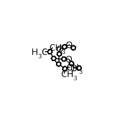 Cc1cc(C)cc(-c2ccc3c(c2)C(c2ccc(Oc4ccc(Oc5ccccc5)cc4)cc2)(c2ccc(Oc4ccc(Oc5ccccc5)cc4)cc2)c2cc(-c4cc(C)cc(C)c4)ccc2-3)c1